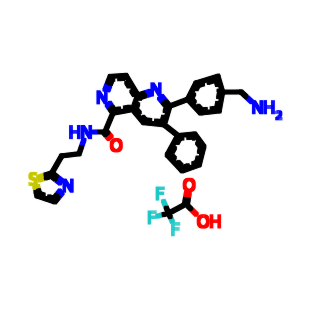 NCc1ccc(-c2nc3ccnc(C(=O)NCCc4nccs4)c3cc2-c2ccccc2)cc1.O=C(O)C(F)(F)F